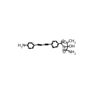 CC(O)C(O)(NC(=O)c1ccc(C#CC#Cc2ccc(N)cc2)cc1)C(N)=O